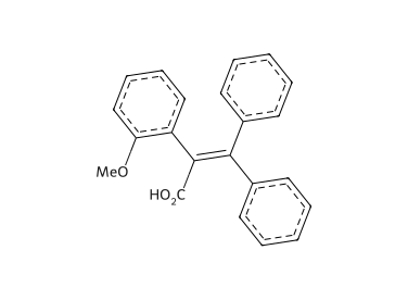 COc1ccccc1C(C(=O)O)=C(c1ccccc1)c1ccccc1